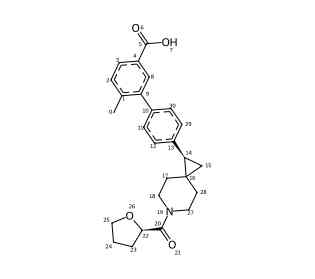 Cc1ccc(C(=O)O)cc1-c1ccc([C@H]2CC23CCN(C(=O)[C@H]2CCCO2)CC3)cc1